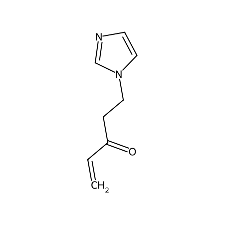 C=CC(=O)CCn1ccnc1